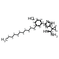 CCCCCCCCCCCc1cccc(-c2n[nH]c(C3(C(=N)N)CC3)n2)c1.Cl